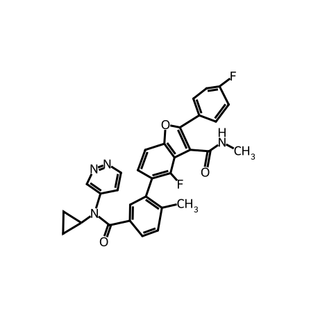 CNC(=O)c1c(-c2ccc(F)cc2)oc2ccc(-c3cc(C(=O)N(c4ccnnc4)C4CC4)ccc3C)c(F)c12